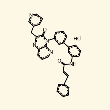 Cl.O=C(/C=C/c1ccccc1)Nc1cccc(-c2cccc(-n3c(=O)c(Cc4cccnc4)nc4cccnc43)c2)c1